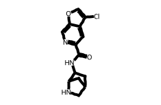 O=C(NC1CC2CNC1C2)c1cc2c(Cl)coc2cn1